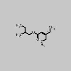 CCC(=CC(=O)OCC(C)CC)CC